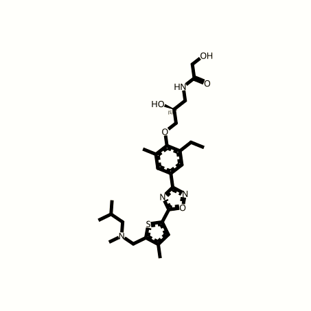 CCc1cc(-c2noc(-c3cc(C)c(CN(C)CC(C)C)s3)n2)cc(C)c1OC[C@@H](O)CNC(=O)CO